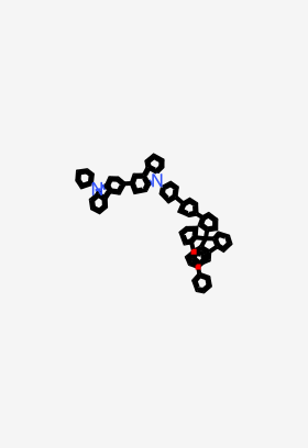 c1ccc(-c2ccc(-c3ccccc3C3(c4cccc(-c5ccc(-c6ccc(-n7c8ccccc8c8cc(-c9ccc%10c(c9)c9ccccc9n%10-c9ccccc9)ccc87)cc6)cc5)c4)c4ccccc4-c4ccccc43)cc2)cc1